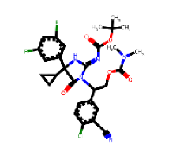 CN(C)C(=O)OCC(c1ccc(Cl)c(C#N)c1)N1C(=O)C(c2cc(F)cc(F)c2)(C2CC2)NC1=NC(=O)OC(C)(C)C